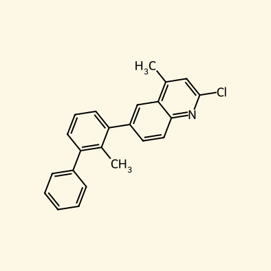 Cc1c(-c2ccccc2)cccc1-c1ccc2nc(Cl)cc(C)c2c1